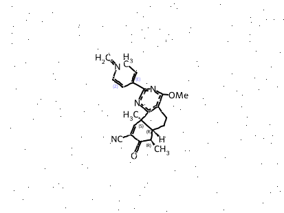 C=N/C=C\C(=C/C)c1nc(OC)c2c(n1)[C@]1(C)C=C(C#N)C(=O)[C@H](C)[C@H]1CC2